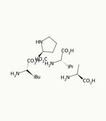 CC(C)[C@H](N)C(=O)O.CC[C@H](C)[C@H](N)C(=O)O.C[C@H](N)C(=O)O.O=C(O)[C@@H]1CCCN1